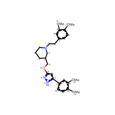 COc1ccc(CCN2CCCC(COc3cc(-c4ccc(OC)c(OC)c4)[nH]n3)C2)cc1OC